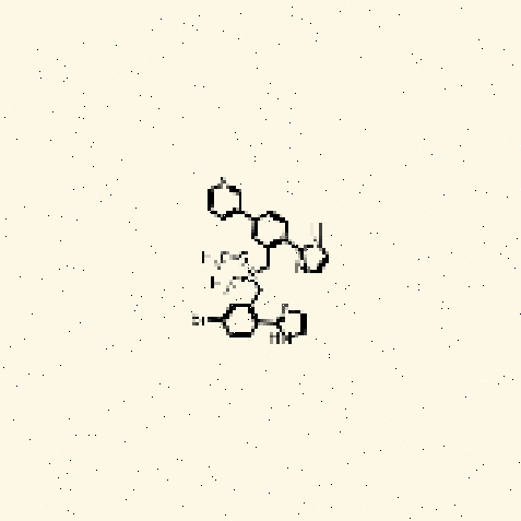 CSS(C)(Cc1cc(Br)ccc1-c1ncc[nH]1)Cc1cc(-c2cccnc2)ccc1-c1ncc[nH]1